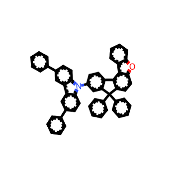 c1ccc(-c2ccc3c(c2)c2cc(-c4ccccc4)ccc2n3-c2ccc3c(c2)C(c2ccccc2)(c2ccccc2)c2ccc4oc5ccccc5c4c2-3)cc1